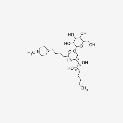 CCCCC[C@@H](O)[C@@H](O)[C@H](COC1OC(CO)C(O)C(O)C1O)NC(=O)CCCCN1CCN(C)CC1